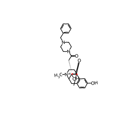 CN1CCC23CC(=O)[C@@H](CC(=O)N4CCN(Cc5ccccc5)CC4)CC2(O)C1Cc1ccc(O)cc13